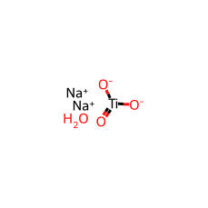 O.[Na+].[Na+].[O]=[Ti]([O-])[O-]